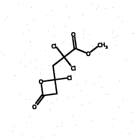 COC(=O)C(Cl)(Cl)CC1(Cl)CC(=O)O1